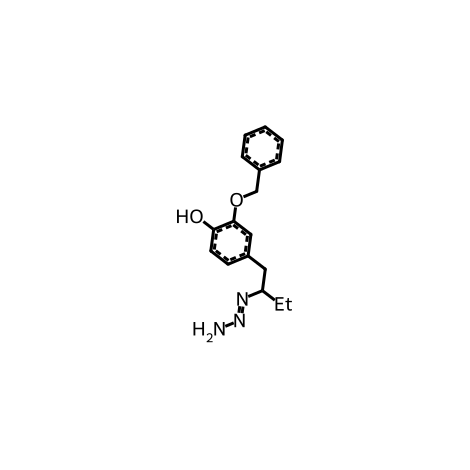 CCC(Cc1ccc(O)c(OCc2ccccc2)c1)N=NN